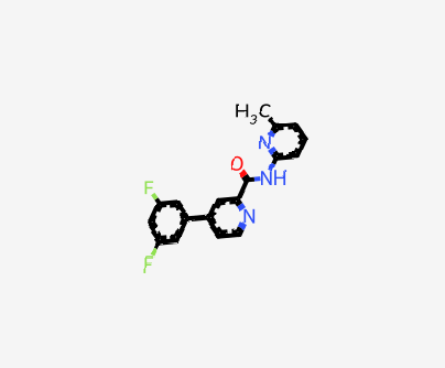 Cc1cccc(NC(=O)c2cc(-c3cc(F)cc(F)c3)ccn2)n1